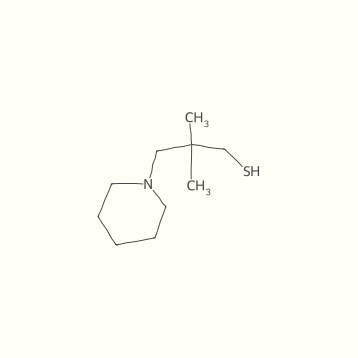 CC(C)(CS)CN1CCCCC1